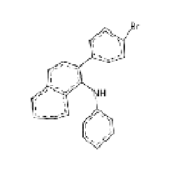 Brc1ccc(-c2ccc3ccccc3c2Nc2ccccc2)cc1